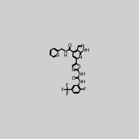 O=C(Nc1ncc(-c2cc(C(=O)NCc3ccccn3)c3cn[nH]c3n2)s1)Nc1cc(C(F)(F)F)ccc1F